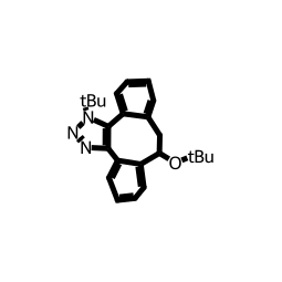 CC(C)(C)OC1Cc2ccccc2-c2c(nnn2C(C)(C)C)-c2ccccc21